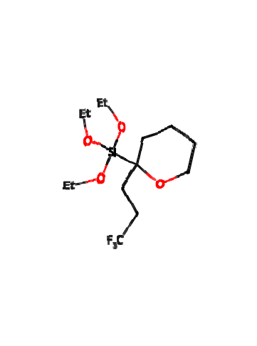 CCO[Si](OCC)(OCC)C1(CCC(F)(F)F)CCCCO1